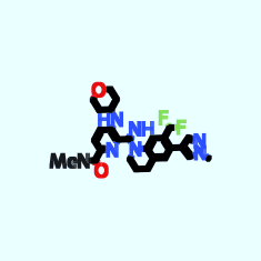 CNC(=O)c1ccc(NC2CCOCC2)c(C(=N)N2CCCc3cc(-c4cnn(C)c4)c(C(F)F)cc32)n1